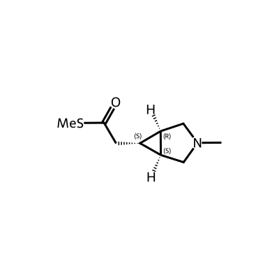 CSC(=O)C[C@@H]1[C@H]2CN(C)C[C@@H]12